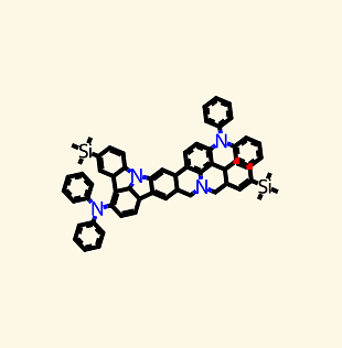 C[Si](C)(C)C1=CC2CN3CC4C=C5C(=CC4c4ccc(N(c6ccccc6)c6ccccc6)c(c43)C2C=C1)N1C2C=CC([Si](C)(C)C)=CC2C2=C(N(c3ccccc3)c3ccccc3)C=CC5C21